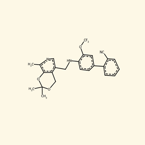 Cc1ncc(CNc2ccc(-c3ccccc3C#N)cc2OC(F)(F)F)c2c1OC(C)(C)OC2